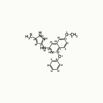 COc1ccc2c(Oc3ccccc3)nc(Nc3cc(C)[nH]n3)cc2c1